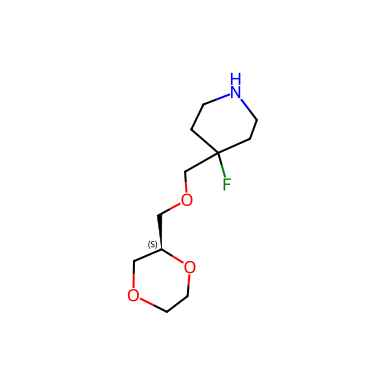 FC1(COC[C@@H]2COCCO2)CCNCC1